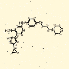 Nc1nc(Nc2ccc(OCCCN3CCOCC3)cc2)ncc1-c1cc(C2CC2)n[nH]1